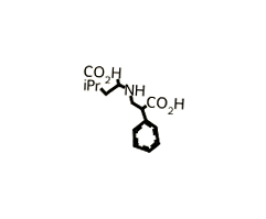 CC(C)CC(NCC(C(=O)O)c1ccccc1)C(=O)O